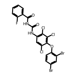 O=C(NC(=O)c1ccccc1F)Nc1cc(Cl)c(Oc2ccc(Br)cc2Br)c(Cl)c1Cl